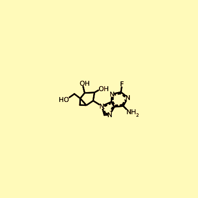 Nc1nc(F)nc2c1ncn2C1C(O)C(O)C2(CO)CC12